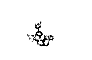 COc1cc(-c2cnn(C)c2)ccc1N1C(N)=NC=C2C=CN(C3COC3)C(N)=C21